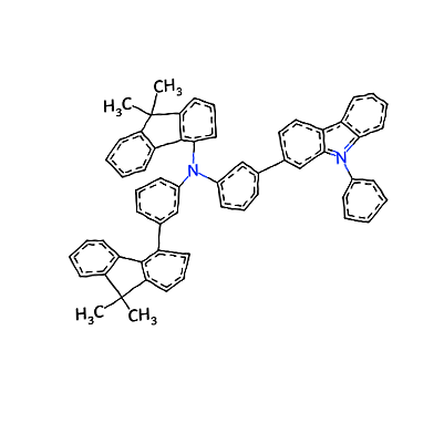 CC1(C)c2ccccc2-c2c(-c3cccc(N(c4cccc(-c5ccc6c7ccccc7n(-c7ccccc7)c6c5)c4)c4cccc5c4-c4ccccc4C5(C)C)c3)cccc21